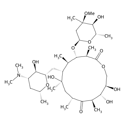 CO[C@]1(C)C[C@H](O[C@H]2[C@H](C)[C@@H](C[C@@H]3O[C@H](C)C[C@H](N(C)C)[C@H]3O)[C@](C)(O)C[C@@H](C)C(=O)[C@H](C)[C@@H](O)[C@H](O)COC(=O)[C@@H]2C)O[C@@H](C)[C@@H]1O